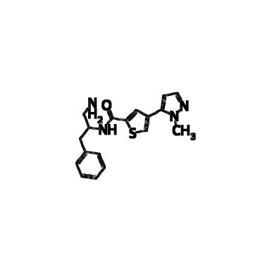 Cn1nccc1-c1csc(C(=O)NC(CN)Cc2ccccc2)c1